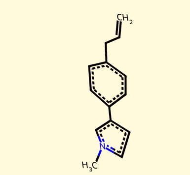 C=CCc1ccc(-c2ccn(C)c2)cc1